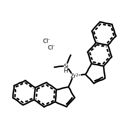 C[SiH](C)[Zr+2]([CH]1C=Cc2cc3ccccc3cc21)[CH]1C=Cc2cc3ccccc3cc21.[Cl-].[Cl-]